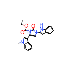 CCOC(=O)n1c(-c2cn(C)c3ccccc23)cn(-c2cc3ccccc3[nH]2)c1=O